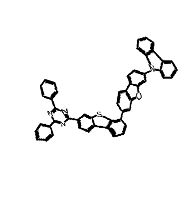 c1ccc(-c2nc(-c3ccccc3)nc(-c3ccc4c(c3)sc3c(-c5ccc6c(c5)oc5cc(-n7c8ccccc8c8ccccc87)ccc56)cccc34)n2)cc1